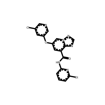 CCc1cccc(NC(=O)c2cc(Oc3cncc(Cl)c3)cn3ncnc23)n1